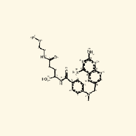 CCCOCCNC(=O)CCC(NC(=O)c1ccc(N(C)Cc2cnc3nc(N)nc(N)c3n2)cc1)C(=O)O